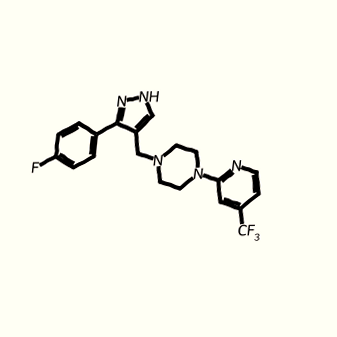 Fc1ccc(-c2n[nH]cc2CN2CCN(c3cc(C(F)(F)F)ccn3)CC2)cc1